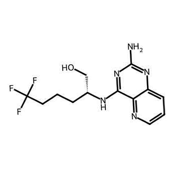 Nc1nc(N[C@@H](CO)CCCC(F)(F)F)c2ncccc2n1